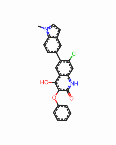 Cn1ccc2cc(-c3cc4c(O)c(Oc5ccccc5)c(=O)[nH]c4cc3Cl)ccc21